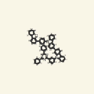 c1ccc(-c2nc(-c3ccccc3)nc(-c3cccc(-n4c5ccccc5c5ccc(-c6ccc7c(c6)c6ccccc6n7-c6ccc(-c7cccc8c7oc7ccccc78)cc6)cc54)c3)n2)cc1